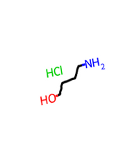 Cl.NCCCCO